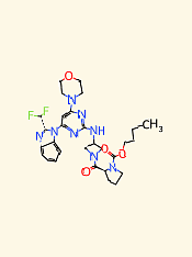 CCCCOC(=O)N1CCC[C@H]1C(=O)N1CC(Nc2nc(N3CCOCC3)cc(-n3c(C(F)F)nc4ccccc43)n2)C1